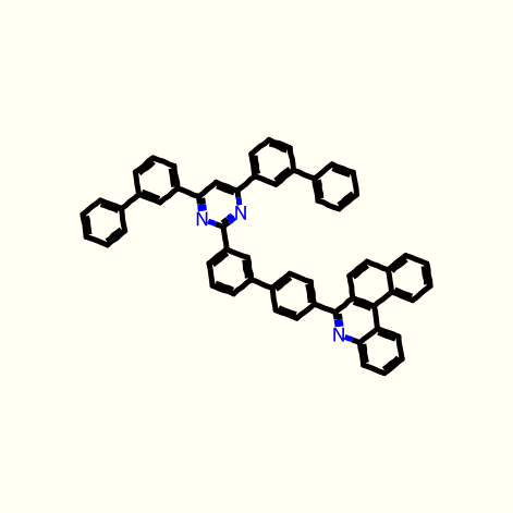 c1ccc(-c2cccc(-c3cc(-c4cccc(-c5ccccc5)c4)nc(-c4cccc(-c5ccc(-c6nc7ccccc7c7c6ccc6ccccc67)cc5)c4)n3)c2)cc1